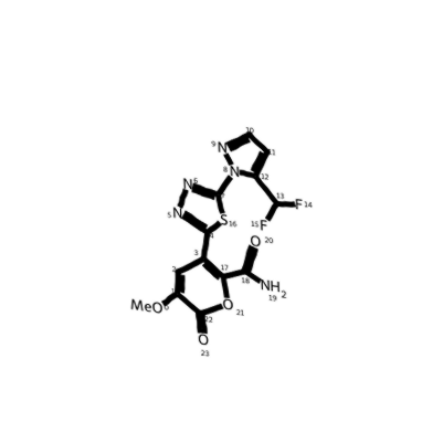 COc1cc(-c2nnc(-n3nccc3C(F)F)s2)c(C(N)=O)oc1=O